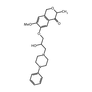 COc1cc2c(cc1OCC(O)CN1CCN(c3ccccc3)CC1)C(=O)C(C)OC2